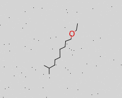 CCOCCCCCCCC(C)C